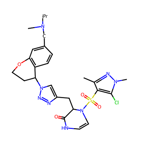 Cc1nn(C)c(Cl)c1S(=O)(=O)N1C=CNC(=O)C1Cc1cn(C2CCOc3cc(CN(C)C(C)C)ccc32)nn1